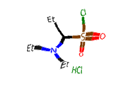 CCC(N(CC)CC)S(=O)(=O)Cl.Cl